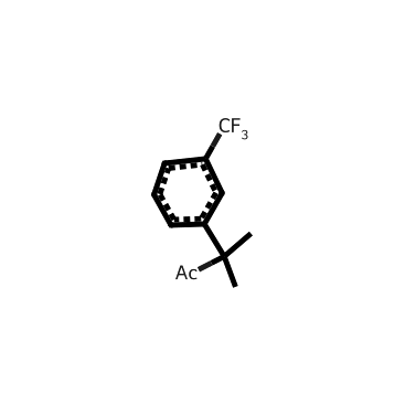 CC(=O)C(C)(C)c1cccc(C(F)(F)F)c1